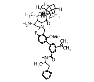 COc1c(-c2cc(C(=O)N[C@H](C)Cc3ccccc3)cc(N(C)C)c2)ccc(F)c1CN1OC(N)[C@@H]([C@H](C)O)[C@H]1C(=O)N[C@H]1C[C@H]2C[C@@H]([C@@H]1C)C2(C)C